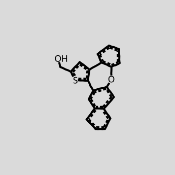 OCc1cc2c(s1)-c1cc3ccccc3cc1Oc1ccccc1-2